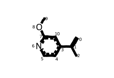 C=C(C)c1ccnc(OC)c1